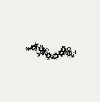 CC(C)Nc1cc(-n2ccc3cc(C#N)cnc32)ncc1C(=O)N[C@H]1CC[C@H](CN2CCC(c3ccc4c(N5CCC(=O)NC5=O)cncc4c3)CC2)CC1